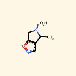 CC1c2cnoc2CN1C(=O)O